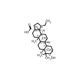 CC[C@@H]1CC[C@]2(C(=O)O)CC[C@]3(C)[C@H](CC[C@@H]4[C@@]5(C)CC[C@H](O)C(C)(C)[C@@H]5CC[C@]43C)[C@@H]12